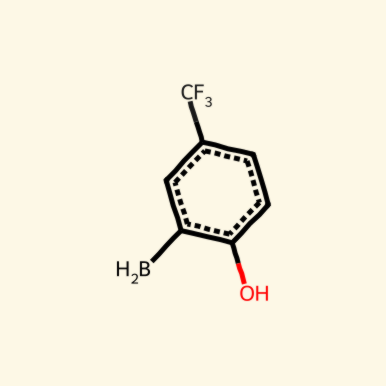 Bc1cc(C(F)(F)F)ccc1O